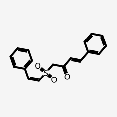 O=C(/C=C/c1ccccc1)CS(=O)(=O)/C=C\c1ccccc1